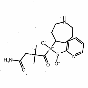 CC(C)(CC(N)=O)C(=O)[N+]([O-])(C1CCCNCC1)[S+]([O-])c1ccccn1